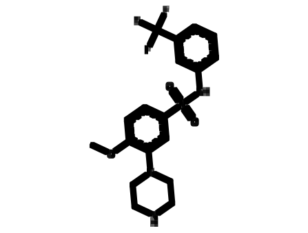 COc1ccc(S(=O)(=O)Nc2cccc(C(F)(F)F)c2)cc1N1CCNCC1